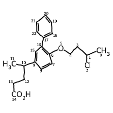 CC(Cl)CCOc1ccc(C(C)CCC(=O)O)cc1-c1ccccc1